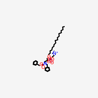 CCCCCCCCCCCCCCCCCCOCC(CN(Cc1ccccc1)C(=O)OCc1ccccc1)OP(=O)([O-])OCC[N+](C)(C)C